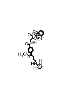 Cn1nc(CCCNC2NCCN2)c2ccc(C(=O)NCC(NS(=O)(=O)c3c(Cl)cccc3Cl)C(=O)O)cc21